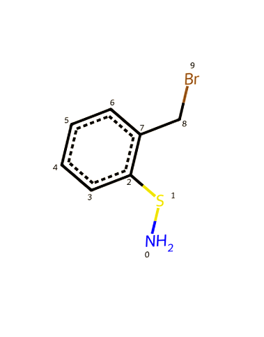 NSc1ccccc1CBr